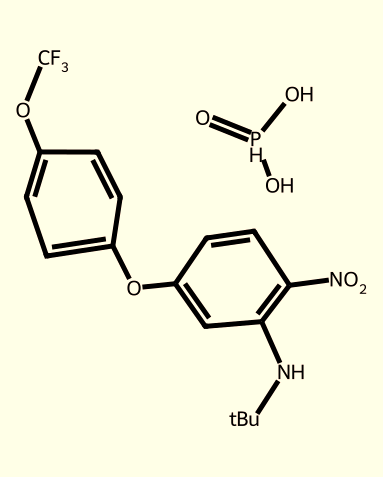 CC(C)(C)Nc1cc(Oc2ccc(OC(F)(F)F)cc2)ccc1[N+](=O)[O-].O=[PH](O)O